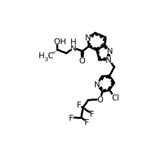 C[C@H](O)CNC(=O)c1nccc2nn(Cc3cnc(OCC(F)(F)C(F)F)c(Cl)c3)cc12